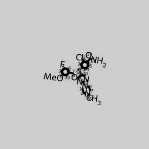 COc1cc(F)cc(COc2nc(N3CCN(C)CC3)ncc2Sc2ccc(C(N)=O)c(Cl)c2)c1